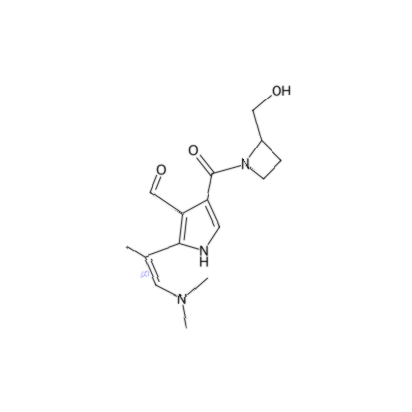 C/C(=C/N(C)C)c1[nH]cc(C(=O)N2CCC2CO)c1C=O